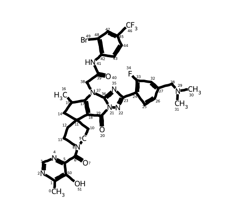 Cc1ncnc(C(=O)N2CCC3(CC2)CC(C)c2c3c(=O)n3nc(-c4ccc(CN(C)C)cc4F)nc3n2CC(=O)Nc2ccc(C(F)(F)F)cc2Br)c1O